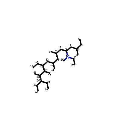 CCC(C)CC(CC(C)CC(C)CC(CC)C(C)C(C)C(CC)CC)N(C)CC